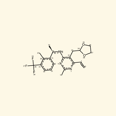 C=Cc1nc(C)nc(N[C@H](C)c2cccc(C(F)(F)F)c2C)c1CC1OCCO1